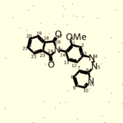 COc1cc(/N=N\c2ccccn2)ccc1N1C(=O)c2ccccc2C1=O